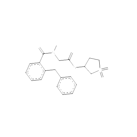 CCN(CC(=O)NC1CCS(=O)(=O)C1)C(=O)c1ccccc1Cc1ccccc1